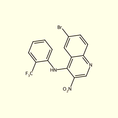 O=[N+]([O-])c1cnc2ccc(Br)cc2c1Nc1ccccc1C(F)(F)F